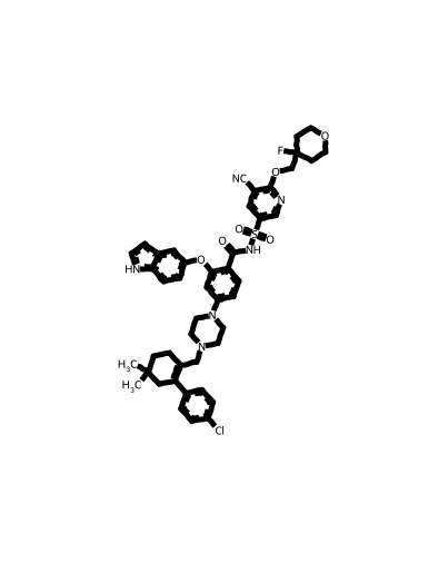 CC1(C)CCC(CN2CCN(c3ccc(C(=O)NS(=O)(=O)c4cnc(OCC5(F)CCOCC5)c(C#N)c4)c(Oc4ccc5[nH]ccc5c4)c3)CC2)=C(c2ccc(Cl)cc2)C1